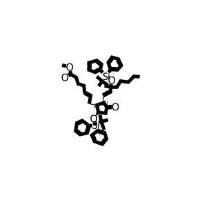 CCCCCC(C)(C=C[C@@H]1C(=O)C[C@@H](O[Si](c2ccccc2)(c2ccccc2)C(C)(C)C)[C@@H]1CC=CCCCC(=O)OC)O[Si](c1ccccc1)(c1ccccc1)C(C)(C)C